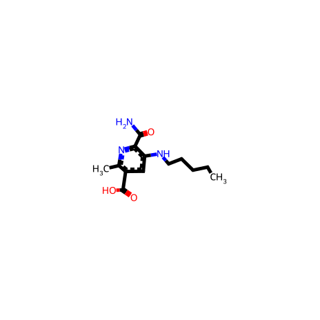 CCCCCNc1cc(C(=O)O)c(C)nc1C(N)=O